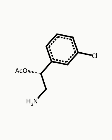 CC(=O)O[C@@H](CN)c1cccc(Cl)c1